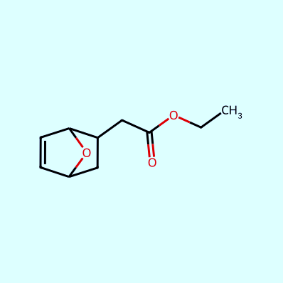 CCOC(=O)CC1CC2C=CC1O2